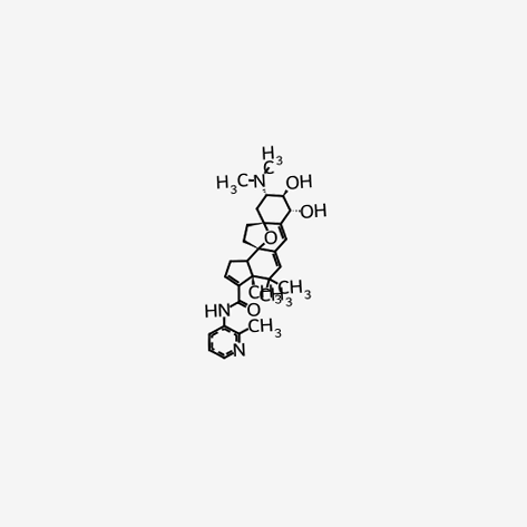 Cc1ncccc1NC(=O)C1=CCC2[C@@]34CC[C@]5(C[C@H](N(C)C)[C@@H](O)[C@H](O)C5=CC3=CC(C)(C)[C@]12C)O4